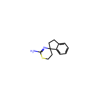 NC1=NC2(CCS1)CCc1ccccc12